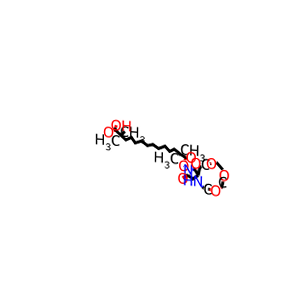 CC(C)(CCCCCCCCCCC(C)(C)C(=O)ON1C(=O)CC2(CCOCCOCCOCCN2)C1=O)C(=O)O